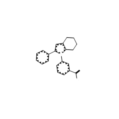 O=C(O)c1cccc(-n2c(-c3ccccc3)cc3c2CCCC3)c1